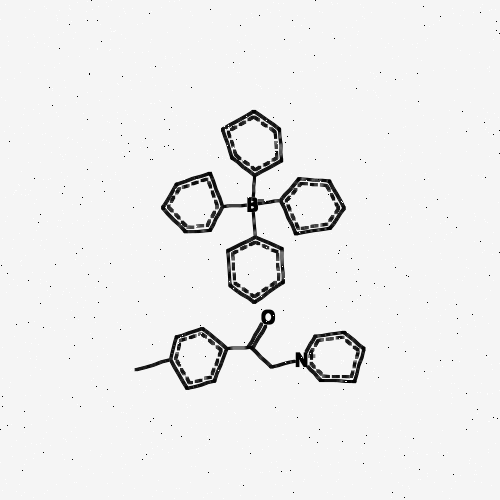 Cc1ccc(C(=O)C[n+]2ccccc2)cc1.c1ccc([B-](c2ccccc2)(c2ccccc2)c2ccccc2)cc1